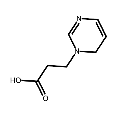 O=C(O)CCN1C=NC=CC1